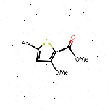 COC(=O)c1sc(C(C)=O)cc1OC